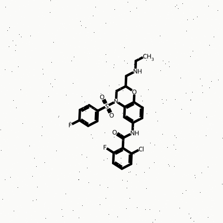 CCNCC1CN(S(=O)(=O)c2ccc(F)cc2)c2cc(NC(=O)c3c(F)cccc3Cl)ccc2O1